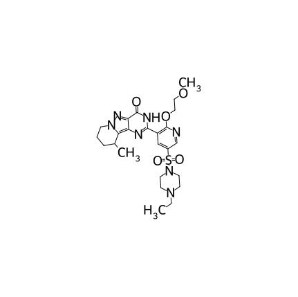 CCN1CCN(S(=O)(=O)c2cnc(OCCOC)c(-c3nc4c5n(nc4c(=O)[nH]3)CCCC5C)c2)CC1